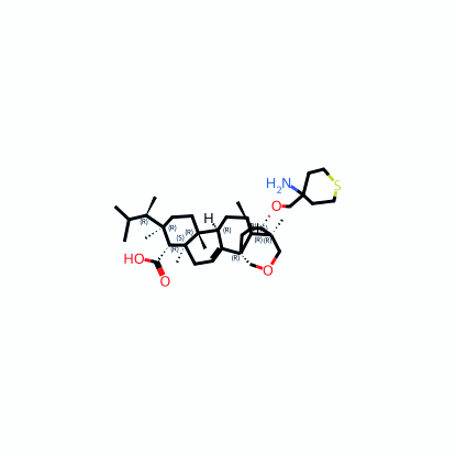 CC(C)[C@@H](C)[C@@]1(C)CC[C@]2(C)[C@H]3CC[C@@H]4[C@@]5(COC[C@]4(C)[C@@H](OCC4(N)CCSCC4)[C@H](C)C5)C3=CC[C@@]2(C)[C@@H]1C(=O)O